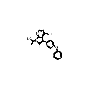 CC(C#N)n1c(I)c(-c2ccc(Oc3ccccc3)cc2)c2c(N)ncnc21